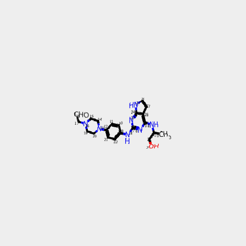 CC(CO)Nc1nc(Nc2ccc(N3CCN(CC=O)CC3)cc2)nc2[nH]ccc12